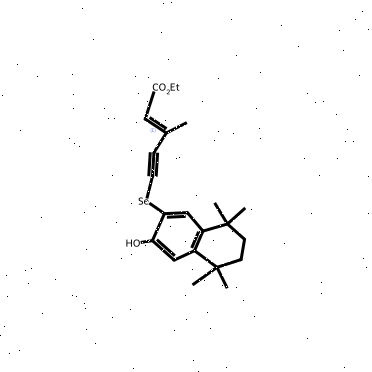 CCOC(=O)/C=C(\C)C#C[Se]c1cc2c(cc1O)C(C)(C)CCC2(C)C